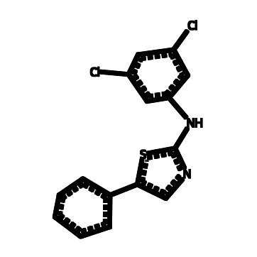 Clc1cc(Cl)cc(Nc2ncc(-c3ccccc3)s2)c1